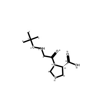 CC(C)(C)ONCC(=O)N1CSC[C@H]1C(=O)O